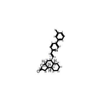 Cc1cccc(-c2ccc(/C=C/[C@@H]3C[C@H]4OC(=O)C[C@H]4[C@@H]4CCCC[C@H]43)nc2)c1